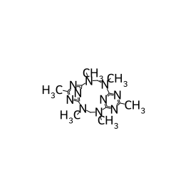 Cc1nc2nc(n1)N(C)CN(C)c1nc(C)nc(n1)N(C)CN2C